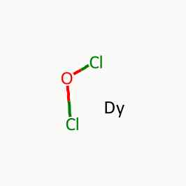 ClOCl.[Dy]